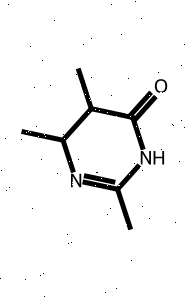 CC1=NC(C)C(C)C(=O)N1